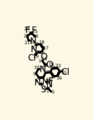 Cc1nn2c3c(nc2s1)CCN(C(=O)COc1ccc(N2CCC(F)(F)C2)nc1Cl)C3c1ccc(Cl)cc1F